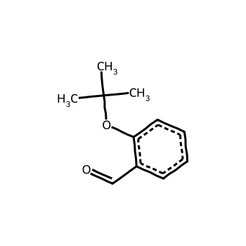 CC(C)(C)Oc1ccccc1C=O